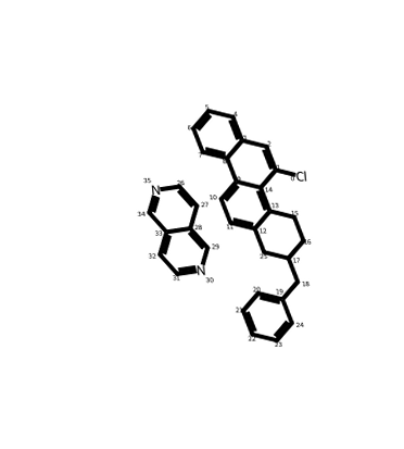 Clc1cc2ccccc2c2ccc3c(c12)CCC(Cc1ccccc1)C3.c1cc2cnccc2cn1